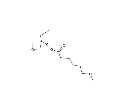 CCC1(COC(=O)CCCCCOC)COC1